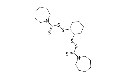 S=C(SSC1CCCCC1SSC(=S)N1CCCCCC1)N1CCCCCC1